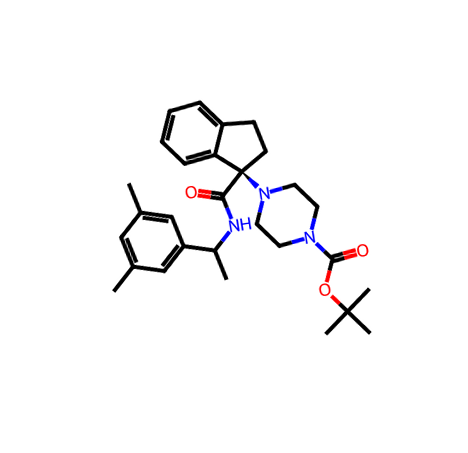 Cc1cc(C)cc(C(C)NC(=O)[C@@]2(N3CCN(C(=O)OC(C)(C)C)CC3)CCc3ccccc32)c1